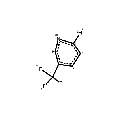 [2H]c1ccc(C(F)(F)F)[c]n1